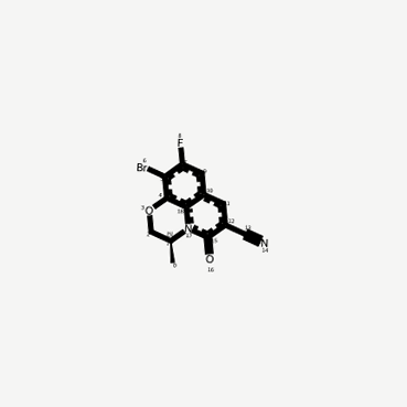 C[C@H]1COc2c(Br)c(F)cc3cc(C#N)c(=O)n1c23